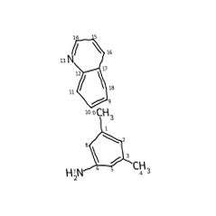 Cc1cc(C)cc(N)c1.c1ccc2ncccc2c1